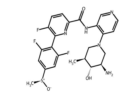 C[C@H]1CN(c2ccncc2NC(=O)c2ccc(F)c(-c3c(F)cc([S@+](C)[O-])cc3F)n2)C[C@@H](N)[C@@H]1O